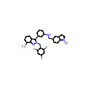 CCn1ccc2cc(CNc3cccc(-c4c5cccc(C(F)(F)F)c5nn4Cc4c(F)cc(F)cc4F)c3)ccc21